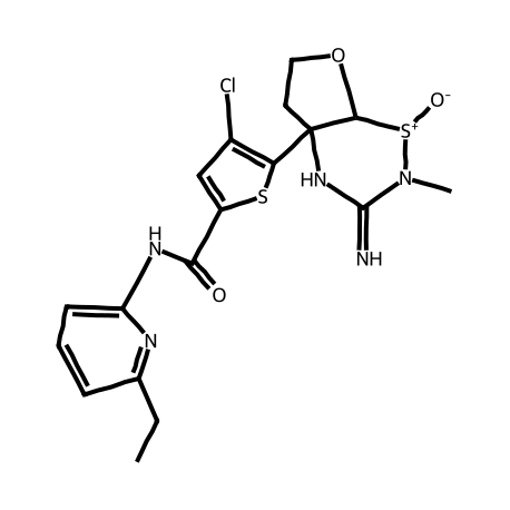 CCc1cccc(NC(=O)c2cc(Cl)c(C34CCOC3[S+]([O-])N(C)C(=N)N4)s2)n1